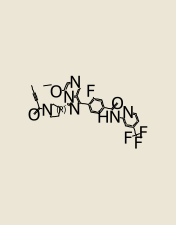 CC#CC(=O)N1CC[C@@H](c2nc(-c3ccc(C(=O)Nc4cc(C(F)(F)F)ccn4)cc3F)c3cncc(OCC)n23)C1